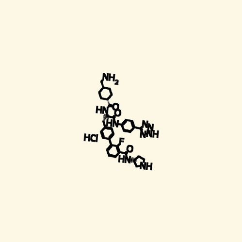 Cl.NC[C@H]1CC[C@H](C(=O)N[C@@H](Cc2ccc(-c3cccc(C(=O)N[C@@H]4CCNC4)c3F)cc2)C(=O)Nc2ccc(-c3nn[nH]n3)cc2)CC1